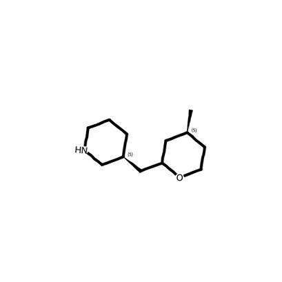 C[C@H]1CCOC(C[C@@H]2CCCNC2)C1